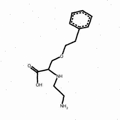 NCCNC(COCCc1ccccc1)C(=O)O